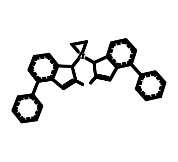 CC1=Cc2c(-c3ccccc3)cccc2[CH]1[Zr]1([CH]2C(C)=Cc3c(-c4ccccc4)cccc32)[CH2][CH2]1